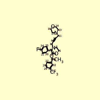 C[C@@H](O[C@H]1OCCN(CC#CCN2CCOCC2)[C@H]1c1ccc(F)cc1)c1cccc(C(F)(F)F)c1